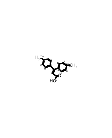 Cc1ccc(C(=CC(=O)O)c2ccc(C)cc2)cc1